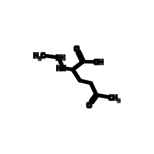 CNNC(CCC(C)=O)C(=O)O